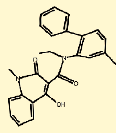 CCN(C(=O)c1c(O)c2ccccc2n(C)c1=O)c1cc(C)ccc1-c1ccccc1